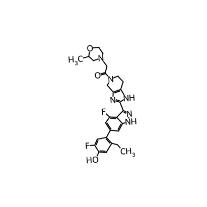 CCc1cc(O)c(F)cc1-c1cc(F)c2c(-c3nc4c([nH]3)CCN(C(=O)CN3CCOC(C)C3)C4)n[nH]c2c1